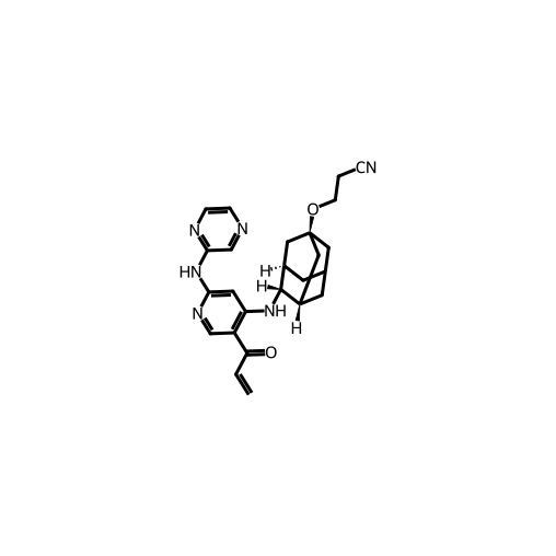 C=CC(=O)c1cnc(Nc2cnccn2)cc1N[C@@H]1[C@@H]2CC3C[C@H]1C[C@@](OCCC#N)(C3)C2